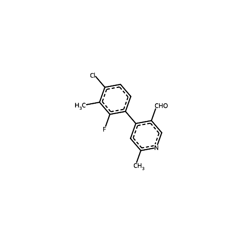 Cc1cc(-c2ccc(Cl)c(C)c2F)c(C=O)cn1